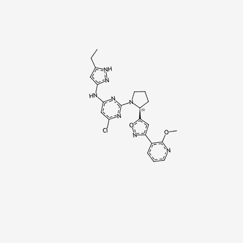 CCc1cc(Nc2cc(Cl)nc(N3CCC[C@H]3c3cc(-c4cccnc4OC)no3)n2)n[nH]1